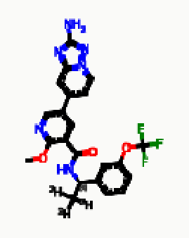 [2H]C([2H])([2H])[C@@H](NC(=O)c1cc(-c2ccn3nc(N)nc3c2)cnc1OC)c1cccc(OC(F)(F)F)c1